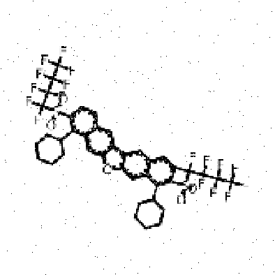 O=S(=O)(c1ccc2cc3c(cc2c1C1CCCCC1)oc1cc2c(C4CCCCC4)c4c(cc2cc13)C(F)(C(F)(F)C(F)(F)C(F)(F)F)S4(=O)=O)C(F)(F)C(F)(F)C(F)(F)C(F)(F)F